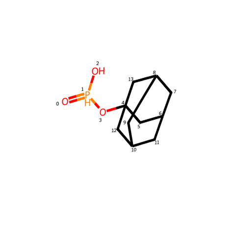 O=[PH](O)OC12CC3CC(CC(C3)C1)C2